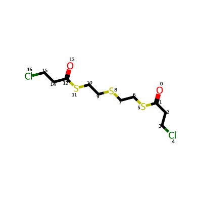 O=C(CCCl)SCCSCCSC(=O)CCCl